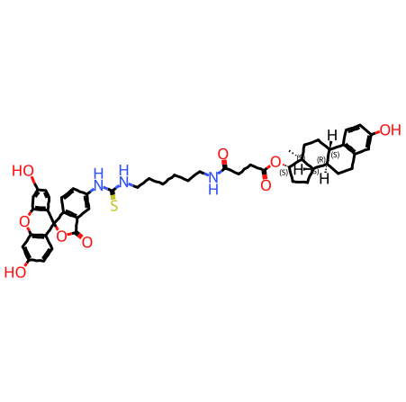 C[C@]12CC[C@@H]3c4ccc(O)cc4CC[C@H]3[C@@H]1CC[C@@H]2OC(=O)CCC(=O)NCCCCCCNC(=S)Nc1ccc2c(c1)C(=O)OC21c2ccc(O)cc2Oc2cc(O)ccc21